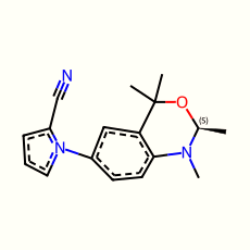 C[C@@H]1OC(C)(C)c2cc(-n3cccc3C#N)ccc2N1C